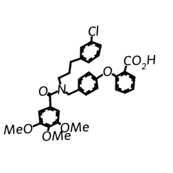 COc1cc(C(=O)N(CCCc2cccc(Cl)c2)Cc2ccc(Oc3ccccc3C(=O)O)cc2)cc(OC)c1OC